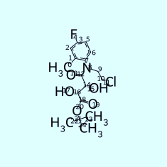 Cc1cc(F)ccc1N(CCCl)C(=O)[C@H](O)[C@@H](O)C(=O)OC(C)(C)C